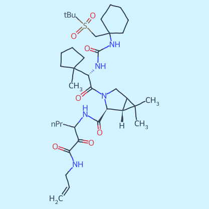 C=CCNC(=O)C(=O)C(CCC)NC(=O)[C@@H]1[C@@H]2C(CN1C(=O)[C@@H](NC(=O)NC1(CS(=O)(=O)C(C)(C)C)CCCCC1)C1(C)CCCC1)C2(C)C